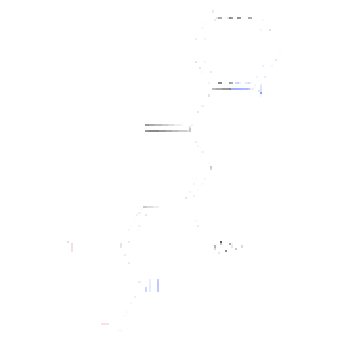 C=C(/C=C(\C=C(\Br)NO)OC)c1ccccn1